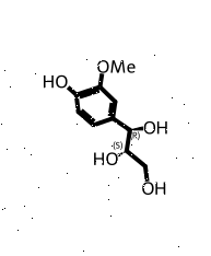 COc1cc([C@@H](O)[C@@H](O)CO)ccc1O